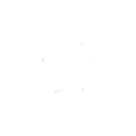 CC(C)c1[c]c(C(C)C)cc(F)c1